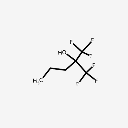 CCCC(O)(C(F)(F)F)C(F)(F)F